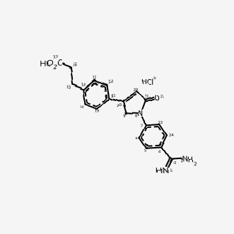 Cl.N=C(N)c1ccc(N2CC(c3ccc(CCC(=O)O)cc3)=CC2=O)cc1